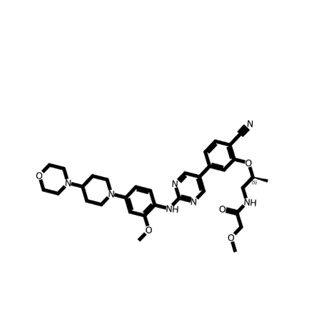 COCC(=O)NC[C@H](C)Oc1cc(-c2cnc(Nc3ccc(N4CCC(N5CCOCC5)CC4)cc3OC)nc2)ccc1C#N